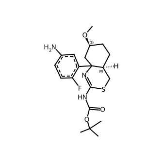 CO[C@H]1CC[C@H]2CSC(NC(=O)OC(C)(C)C)=NC2(c2cc(N)ccc2F)C1